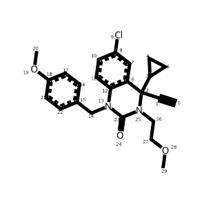 C#CC1(C2CC2)c2cc(Cl)ccc2N(Cc2ccc(OC)cc2)C(=O)N1CCOC